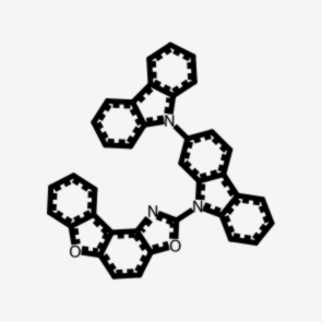 c1ccc2c(c1)oc1ccc3oc(-n4c5ccccc5c5ccc(-n6c7ccccc7c7ccccc76)cc54)nc3c12